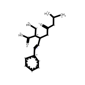 CC(C)CC(=O)CC(/C=C/c1ccccc1)C(CO)C(=O)O